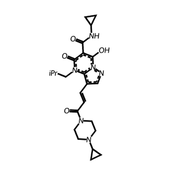 CC(C)Cn1c(=O)c(C(=O)NC2CC2)c(O)n2ncc(C=CC(=O)N3CCN(C4CC4)CC3)c12